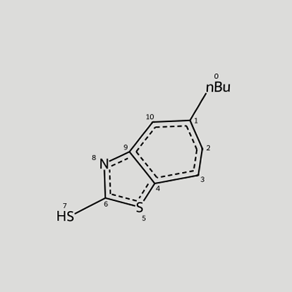 CCCCc1ccc2sc(S)nc2c1